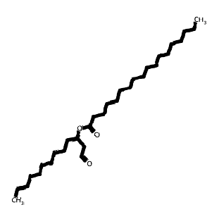 CCCCCCCCCCCCCCCCCC(=O)OC(CC=O)CCCCCCCCCC